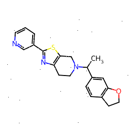 CC(c1ccc2c(c1)OCC2)N1CCc2nc(-c3cccnc3)sc2C1